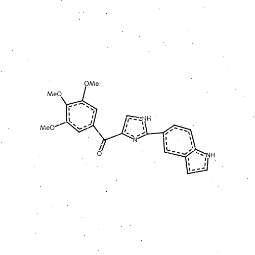 COc1cc(C(=O)c2c[nH]c(-c3ccc4[nH]ccc4c3)n2)cc(OC)c1OC